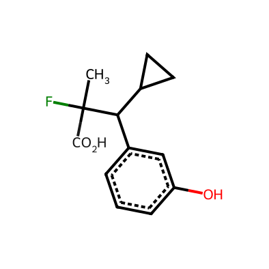 CC(F)(C(=O)O)C(c1cccc(O)c1)C1CC1